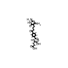 Nc1nc(N)c(CCCC(=O)c2ccc(C(=O)N[C@H](CCC(=O)O)C(=O)O)cc2)c(=O)[nH]1